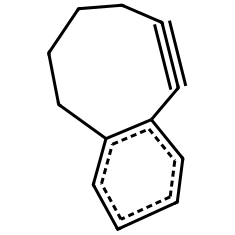 C1#Cc2ccccc2CCCC1